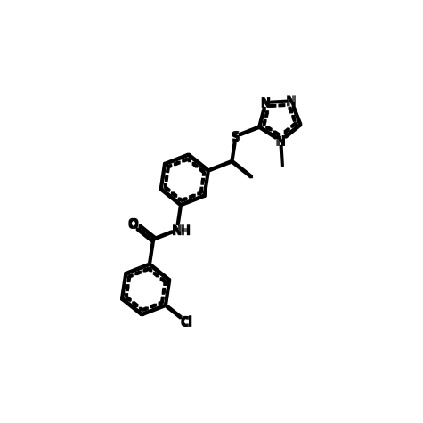 CC(Sc1nncn1C)c1cccc(NC(=O)c2cccc(Cl)c2)c1